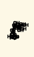 COc1ccc2c3c1OC1C(OC(=O)OC[C@H]4O[C@H](O)[C@H](O)[C@H]4OC4O[C@H](C(O)CO)[C@H](O)[C@@H]4O)=CCC4[C@@H](C2)N(C)CC[C@]314